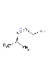 CC(C)/N=N\CO